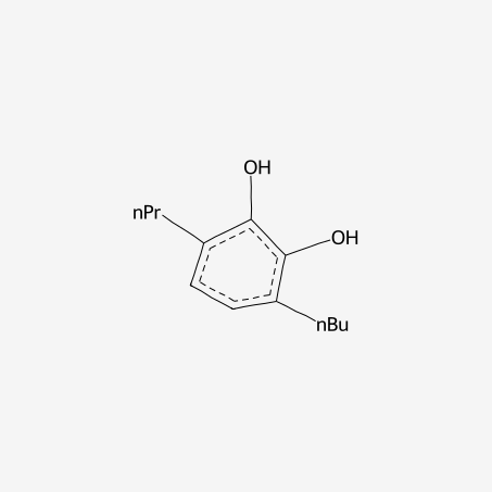 CCCCc1ccc(CCC)c(O)c1O